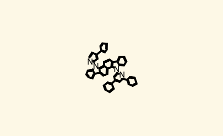 c1ccc(-c2ccnc(-n3c4ccccc4c4ccc5c(ccc6c7ccccc7n(-c7cc(-c8ccccc8)cc(-c8ccccc8)n7)c65)c43)c2)cc1